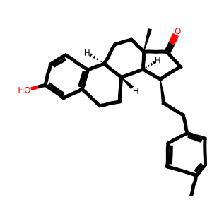 Cc1ccc(CC[C@@H]2CC(=O)[C@@]3(C)CC[C@@H]4c5ccc(O)cc5CC[C@H]4[C@H]23)cc1